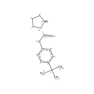 CC(C)(C)c1ccc(OC(=O)[C@@H]2CCCN2)cc1